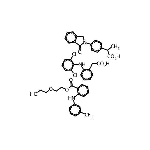 CC(C(=O)O)c1ccc(N2Cc3ccccc3C2=O)cc1.O=C(O)Cc1ccccc1Nc1c(Cl)cccc1Cl.O=C(OCCOCCO)c1ccccc1Nc1cccc(C(F)(F)F)c1